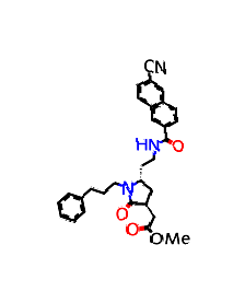 COC(=O)C[C@@H]1C[C@@H](CCNC(=O)c2ccc3cc(C#N)ccc3c2)N(CCCc2ccccc2)C1=O